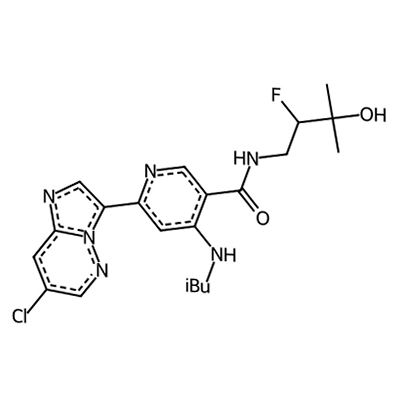 CCC(C)Nc1cc(-c2cnc3cc(Cl)cnn23)ncc1C(=O)NCC(F)C(C)(C)O